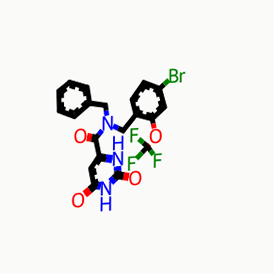 O=C(c1cc(=O)[nH]c(=O)[nH]1)N(Cc1ccccc1)Cc1ccc(Br)cc1OC(F)(F)F